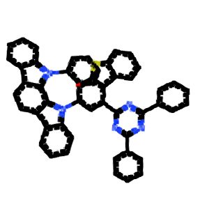 c1ccc(-c2nc(-c3ccccc3)nc(-c3cc(-n4c5ccccc5c5ccc6c7ccccc7n(-c7ccccc7)c6c54)cc4sc5ccccc5c34)n2)cc1